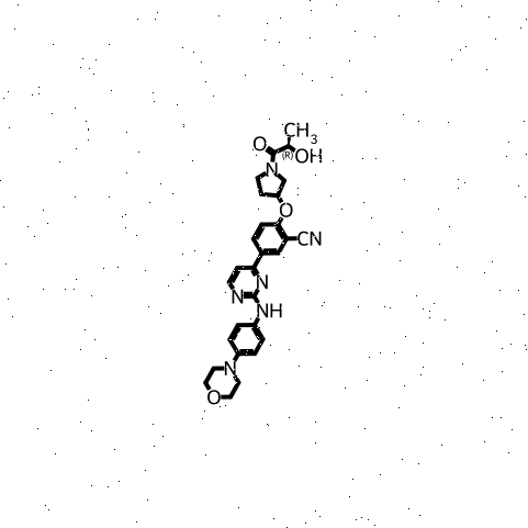 C[C@@H](O)C(=O)N1CCC(Oc2ccc(-c3ccnc(Nc4ccc(N5CCOCC5)cc4)n3)cc2C#N)C1